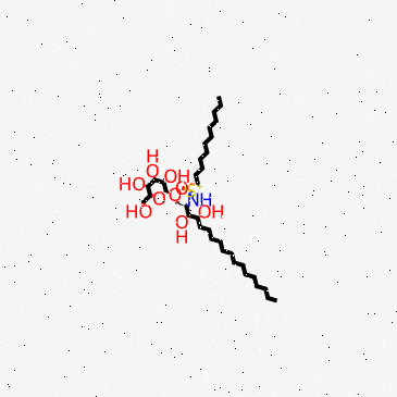 CCCCCCCCCCCCCC[C@@H](O)[C@@H](O)[C@H](CO[C@H]1OC(CO)[C@H](O)[C@H](O)C1O)N[S+]([O-])CCCCCCCCCCCC